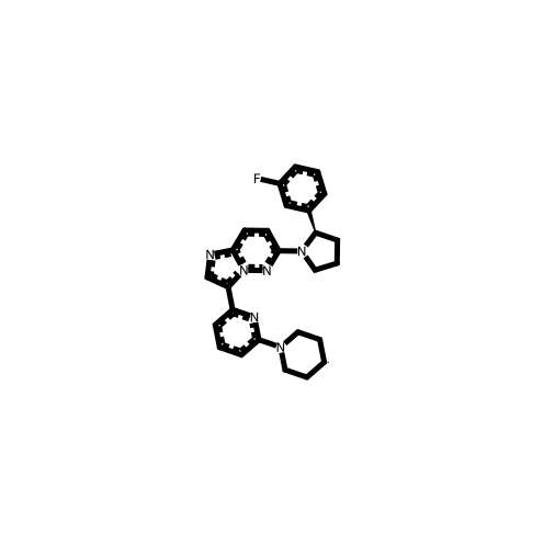 Fc1cccc([C@H]2CCCN2c2ccc3ncc(-c4cccc(N5CC[CH]CC5)n4)n3n2)c1